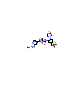 CC(=O)Nc1cc(-c2nc(C(=O)Nc3cc4c(cc3N3CCOCC3)OC(C)(C)C4)co2)ccn1